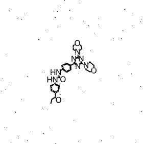 CCC(=O)c1ccc(NC(=O)Nc2ccc(-c3nc(N4CCOCC4)nc(N4CCOCC4)n3)cc2)cc1